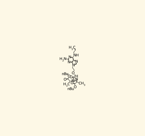 C=CCNc1nc(N)nc2c1ncn2CCOCP(=O)(NC(C)C(=O)OCCCC)NC(C)C(=O)OCCCC